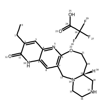 CCc1cc2nc3c(cc2[nH]c1=O)CN1CCNC[C@H]1CCO3.O=C(O)C(F)(F)F